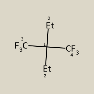 CCC(CC)(C(F)(F)F)C(F)(F)F